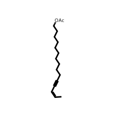 C/C=C\C#CCCCCCCCCCCOC(C)=O